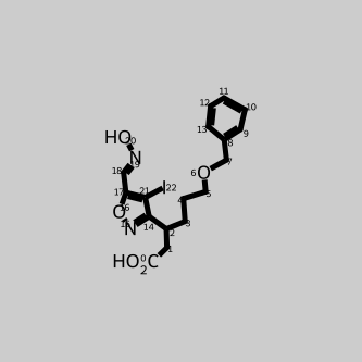 O=C(O)CC(CCCOCc1ccccc1)c1noc(C=NO)c1I